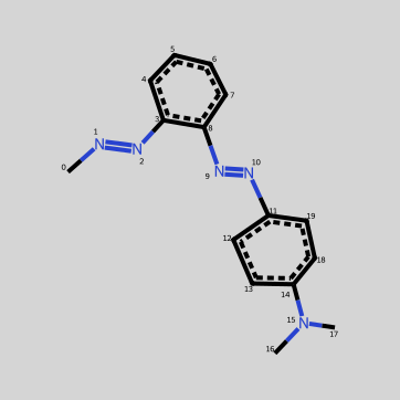 C/N=N/c1ccccc1/N=N/c1ccc(N(C)C)cc1